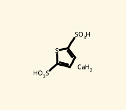 O=S(=O)(O)c1ccc(S(=O)(=O)O)s1.[CaH2]